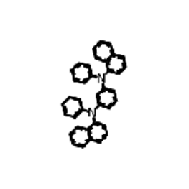 C1=CCCC(N(c2cccc(N(c3ccccc3)c3cccc4ccccc34)c2)c2cccc3ccccc23)=C1